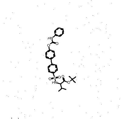 CC(C)C(NS(=O)(=O)c1ccc(-c2ccc(OC(=O)Nc3ccccc3)cc2)cc1)C(=O)OC(C)(C)C